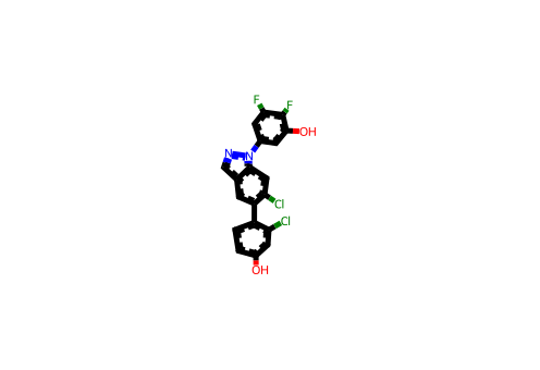 Oc1ccc(-c2cc3cnn(-c4cc(O)c(F)c(F)c4)c3cc2Cl)c(Cl)c1